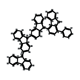 c1ccc(-c2ccc(-n3c4ccccc4c4cc(-n5c6ccccc6c6cc(-n7c8ccccc8c8ccccc87)ccc65)ccc43)c3c2oc2ccccc23)cc1